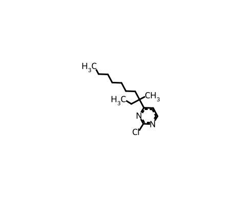 CCCCCCCC(C)(CC)c1ccnc(Cl)n1